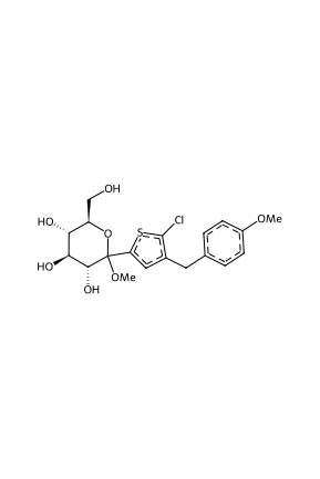 COc1ccc(Cc2cc(C3(OC)O[C@H](CO)[C@@H](O)[C@H](O)[C@H]3O)sc2Cl)cc1